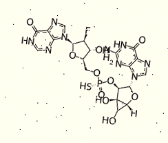 Nc1nc2c(ncn2[C@@H]2O[C@@H]3C(O)[C@]3(O)[C@H]2O[P@](=O)(S)OC[C@H]2O[C@@H](n3cnc4c(=O)[nH]cnc43)[C@@H](F)[C@@H]2O)c(=O)[nH]1